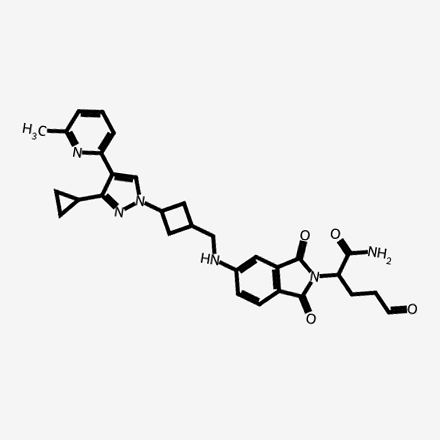 Cc1cccc(-c2cn(C3CC(CNc4ccc5c(c4)C(=O)N(C(CCC=O)C(N)=O)C5=O)C3)nc2C2CC2)n1